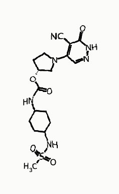 CS(=O)(=O)NC1CCC(NC(=O)O[C@@H]2CCN(c3cn[nH]c(=O)c3C#N)C2)CC1